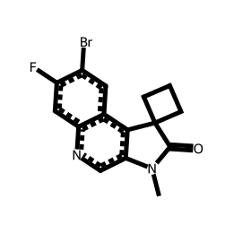 CN1C(=O)C2(CCC2)c2c1cnc1cc(F)c(Br)cc21